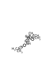 C=CCn1c(=O)c2cnc(Nc3ccc(N4CCN(C(C)C)CC4)cc3)nc2n1-c1cccc(C(C)(C)C)n1